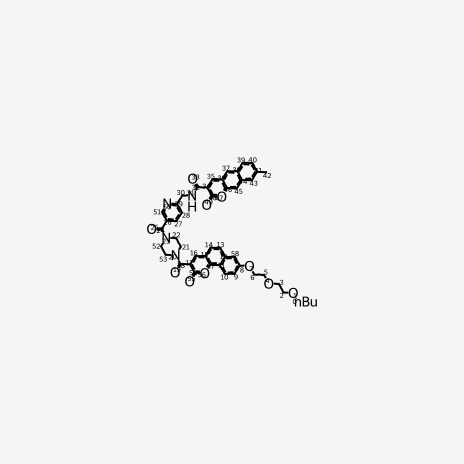 CCCCOCCOCCOc1ccc2c(ccc3cc(C(=O)N4CCN(C(=O)c5ccc(CNC(=O)c6cc7cc8ccc(C)cc8cc7oc6=O)nc5)CC4)c(=O)oc32)c1